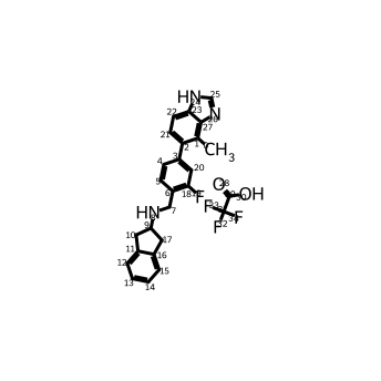 Cc1c(-c2ccc(CNC3Cc4ccccc4C3)c(F)c2)ccc2[nH]cnc12.O=C(O)C(F)(F)F